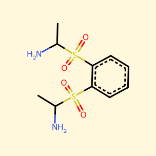 CC(N)S(=O)(=O)c1ccccc1S(=O)(=O)C(C)N